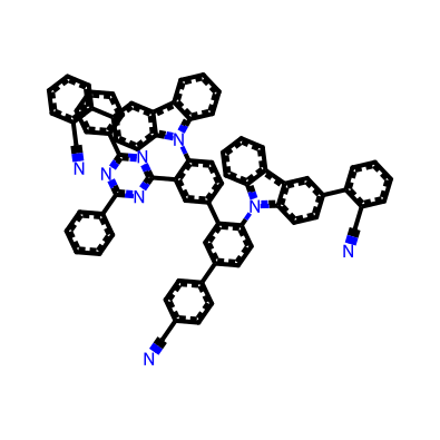 N#Cc1ccc(-c2ccc(-n3c4ccccc4c4cc(-c5ccccc5C#N)ccc43)c(-c3ccc(-n4c5ccccc5c5cc(-c6ccccc6C#N)ccc54)c(-c4nc(-c5ccccc5)nc(-c5ccccc5)n4)c3)c2)cc1